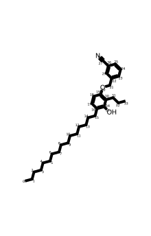 CCCCCCCCCCCCCCCCc1ccc(OCc2cccc(C#N)c2)c(CCC)c1O